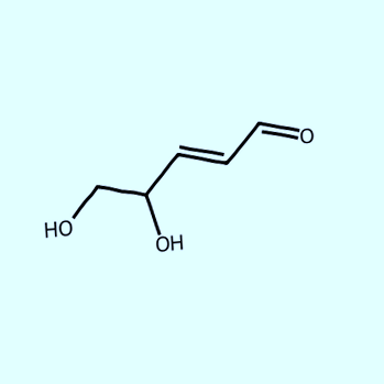 O=CC=CC(O)CO